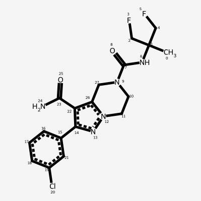 CC(CF)(CF)NC(=O)N1CCn2nc(-c3cccc(Cl)c3)c(C(N)=O)c2C1